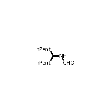 CCCCCC(CCCCC)N[C]=O